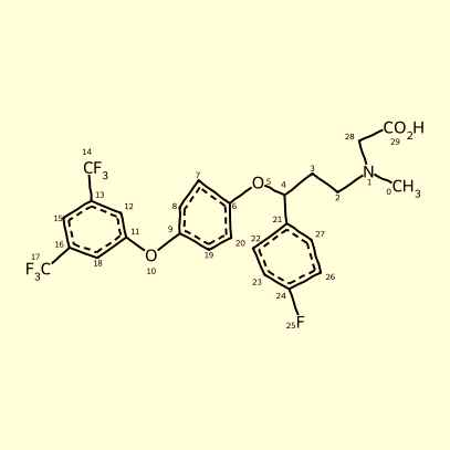 CN(CCC(Oc1ccc(Oc2cc(C(F)(F)F)cc(C(F)(F)F)c2)cc1)c1ccc(F)cc1)CC(=O)O